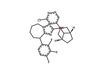 Fc1ccc(C2CCCCn3nc(NC4[C@@H]5CC[C@H]4CN(c4cnnc(Cl)c4)C5)nc32)c(F)c1F